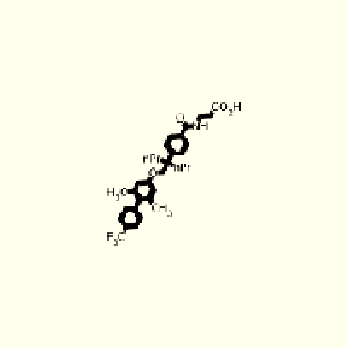 CCCC(CCC)(COc1cc(C)c(-c2ccc(C(F)(F)F)cc2)c(C)c1)c1ccc(C(=O)NCCC(=O)O)cc1